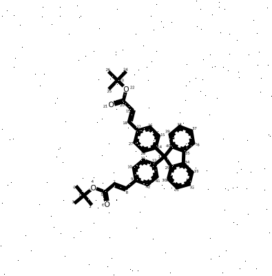 CC(C)(C)OC(=O)C=Cc1ccc(C2(c3ccc(C=CC(=O)OC(C)(C)C)cc3)c3ccccc3-c3ccccc32)cc1